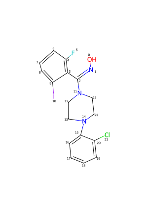 O/N=C(\c1c(F)cccc1I)N1CCN(c2ccccc2Cl)CC1